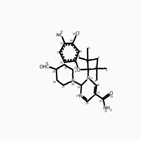 CC1(C)CC(C)(C)C1(Oc1ccc(C#N)c(Cl)c1)N1C=C(C(N)=O)C=NC1N1CCC(C=O)CC1